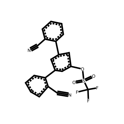 N#Cc1ccccc1-c1cc(OS(=O)(=O)C(F)(F)F)cc(-c2ccccc2C#N)c1